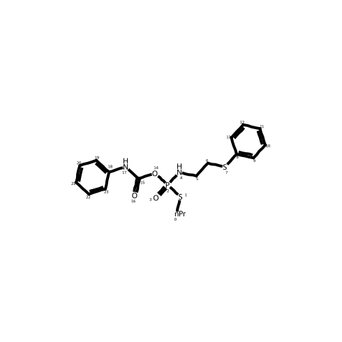 CCCSP(=O)(NCCSc1ccccc1)OC(=O)Nc1ccccc1